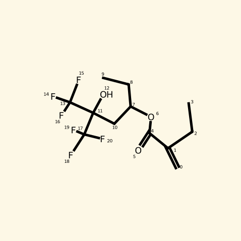 C=C(CC)C(=O)OC(CC)CC(O)(C(F)(F)F)C(F)(F)F